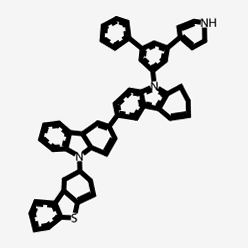 C1=Cc2c(n(-c3cc(C4=CCNC=C4)cc(-c4ccccc4)c3)c3ccc(C4=CC5c6ccccc6N(C6CC=C7Sc8ccccc8C7C6)C5C=C4)cc23)CC1